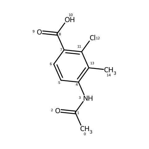 CC(=O)Nc1ccc(C(=O)O)c(Cl)c1C